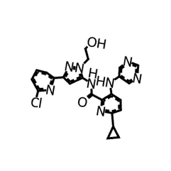 O=C(Nc1cc(-c2cccc(Cl)n2)nn1CCO)c1nc(C2CC2)ccc1Nc1cncnc1